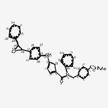 COc1ccc(CN(C(=O)C2=CC=C(Nc3ccc(C4OC4c4ccccc4)cc3)C2)c2ccccc2)cc1